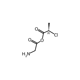 C[C@@H](Cl)C(=O)OC(=O)CN